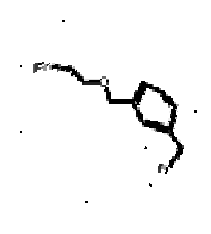 CC(C)CCOCc1cccc(CC(C)C)c1